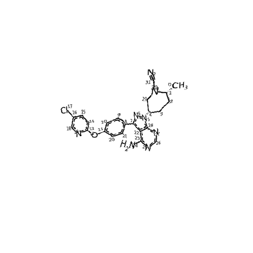 C[C@@H]1CC[C@H](n2nc(-c3ccc(Oc4ccc(Cl)cn4)cc3)c3c(N)ncnc32)CN1C#N